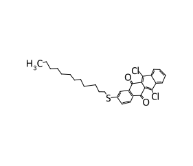 CCCCCCCCCCCCSc1ccc2c(c1)C(=O)c1c(c(Cl)c3ccccc3c1Cl)C2=O